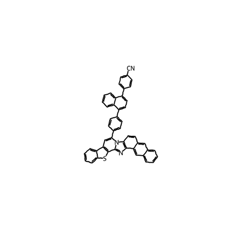 N#Cc1ccc(-c2ccc(-c3ccc(-c4cc5c6ccccc6sc5c5nc6c7cc8ccccc8cc7ccc6n45)cc3)c3ccccc23)cc1